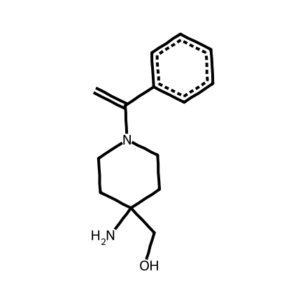 C=C(c1ccccc1)N1CCC(N)(CO)CC1